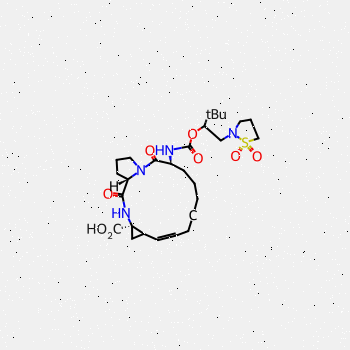 CC(C)(C)C(CN1CCCS1(=O)=O)OC(=O)N[C@H]1CCCCC/C=C\C2C[C@@]2(C(=O)O)NC(=O)[C@@H]2CCCN2C1=O